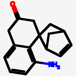 Nc1cccc2c1C1(CC(=O)C2)CC2C=CC1C2